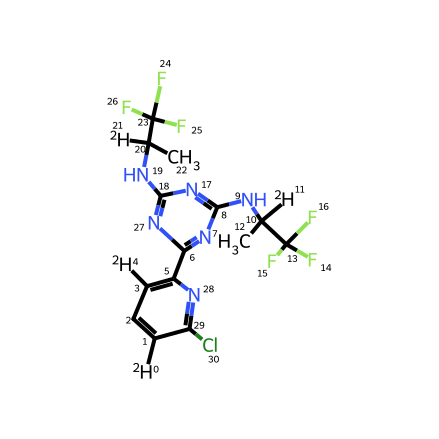 [2H]c1cc([2H])c(-c2nc(NC([2H])(C)C(F)(F)F)nc(NC([2H])(C)C(F)(F)F)n2)nc1Cl